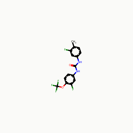 Cc1ccc(NC(=O)Nc2ccc(OC(F)(F)F)c(F)c2)cc1F